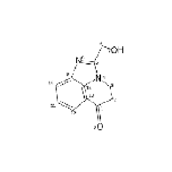 O=C1CCn2c(CO)nc3cccc1c32